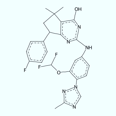 Cc1ncn(-c2ccc(Nc3nc(O)c4c(n3)C(c3ccc(F)cc3)CC4(C)C)cc2OC(F)F)n1